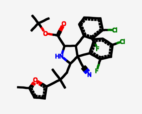 Cc1ccc(C(C)(C)CC2NC(C(=O)OC(C)(C)C)C(c3cccc(Cl)c3F)C2(C#N)c2ccc(Cl)cc2F)o1